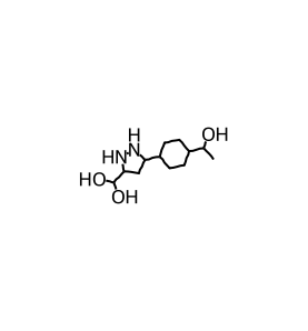 CC(O)C1CCC(C2CC(C(O)O)NN2)CC1